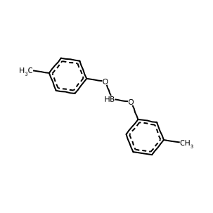 Cc1ccc(OBOc2cccc(C)c2)cc1